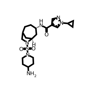 NC1CCN(S(=O)(=O)N2CC3CC[C@H](NC(=O)c4cnn(C5CC5)c4)C[C@@H]2C3)CC1